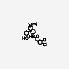 C[N@+]1(CC2CC2)CC[C@@]2(c3cccc(O)c3)C[C@H](NC(=O)Cc3ccc(Cl)c(Cl)c3)CCC2C1